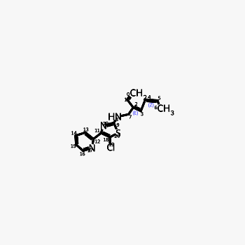 C=C/C(=C\C=C/C)CNc1nc(-c2ccccn2)c(Cl)s1